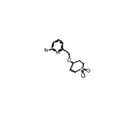 O=S1(=O)CCC(OCc2cccc(Br)n2)CC1